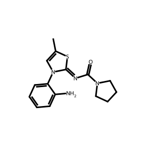 Cc1cn(-c2ccccc2N)c(=NC(=O)N2CCCC2)s1